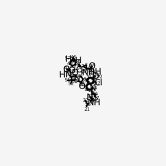 C=C[C@@H]1C[C@]1(NC(=O)[C@@H]1C[C@@H](Oc2cc(-c3csc(NC(C)C)n3)nc3c(Cl)c(OC)ccc23)CN1C(=O)[C@@H](NC(=O)OC1C[C@@H]2C[C@@H]2C1)C(C)(C)C)C(=O)O